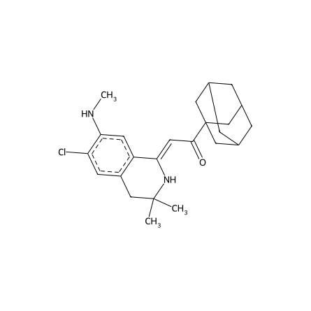 CNc1cc2c(cc1Cl)CC(C)(C)N/C2=C\C(=O)C12CC3CC(CC(C3)C1)C2